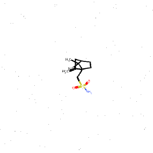 C=C1CC2CCC1(CS(N)(=O)=O)C2(C)C